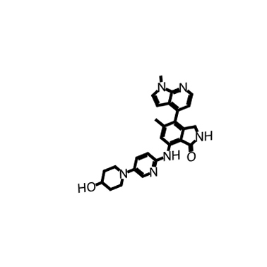 Cc1cc(Nc2ccc(N3CCC(O)CC3)cn2)c2c(c1-c1ccnc3c1ccn3C)CNC2=O